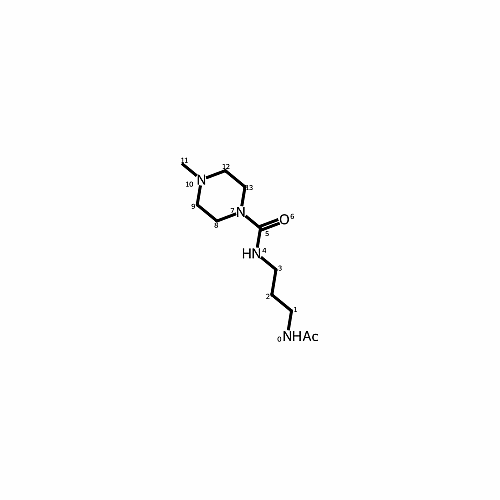 CC(=O)NCCCNC(=O)N1CCN(C)CC1